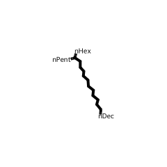 [CH2]CCCCCC(CCCCC)CCCCCCCCCCCCCCCCCCCCC